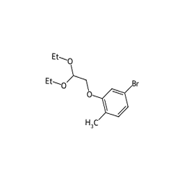 CCOC(COc1cc(Br)ccc1C)OCC